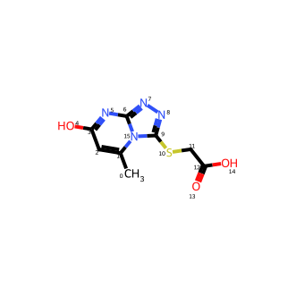 Cc1cc(O)nc2nnc(SCC(=O)O)n12